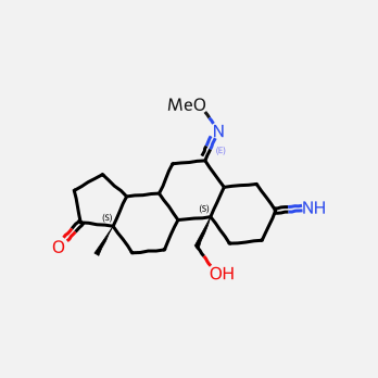 CO/N=C1\CC2C(CC[C@]3(C)C(=O)CCC23)[C@@]2(CO)CCC(=N)CC12